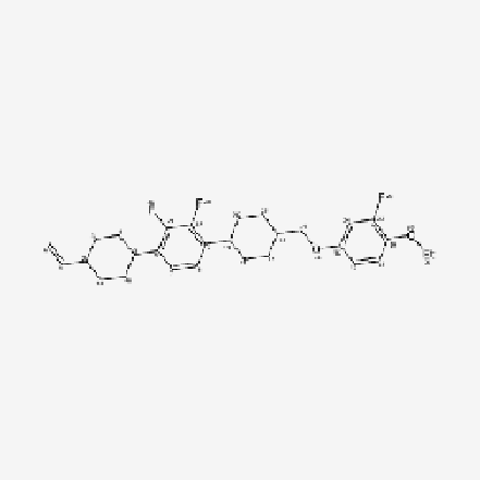 C=CC1CCC(c2ccc(C3CCC(COc4ccc(OCC)c(F)c4)CC3)c(F)c2F)CC1